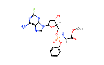 CCCCCCCCCCOC(=O)[C@H](C)N[P@](=O)(OC[C@@]1(C)O[C@@H](n2cnc3c(N)nc(F)nc32)C[C@@H]1O)Oc1ccccc1